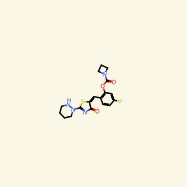 O=C1N=C(N2CCCCN2)S/C1=C/c1ccc(F)cc1OC(=O)N1CCC1